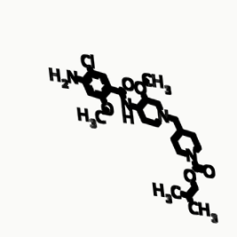 COc1cc(N)c(Cl)cc1C(=O)NC1CCN(CC2CCN(C(=O)OCC(C)C)CC2)CC1OC